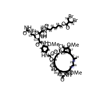 COc1cc(NC(=O)O[C@H]2CC(=O)N(C)c3cc(cc(OC)c3Cl)C/C(C)=C/C=C/[C@@H](OC)[C@@]3(O)C[C@H](OC(=O)N3)[C@@H](C)[C@@H]3O[C@@]23C)ccc1NC(=O)[C@H](CCCNC(N)=O)NC(=O)[C@@H](NC(=O)CCCCCOC(=O)C(CBr)CBr)C(C)C